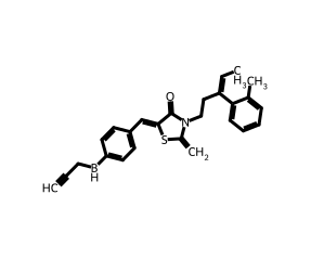 C#CCBc1ccc(/C=c2\sc(=C)n(CC/C(=C/C)c3ccccc3C)c2=O)cc1